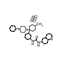 CC1CCC(c2cccc(NC(=O)Nc3ccc4ncccc4c3)c2)(N2CCN(c3ccccc3)CC2)CC1.Cl.Cl.Cl